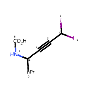 CCCC(C#CC(I)I)NC(=O)O